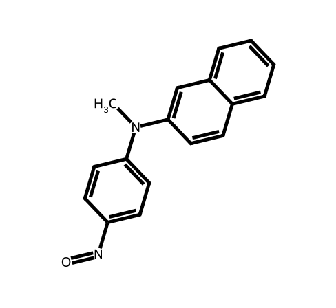 CN(c1ccc(N=O)cc1)c1ccc2ccccc2c1